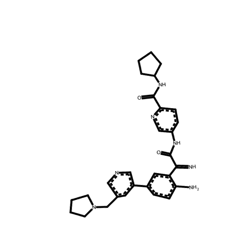 N=C(C(=O)Nc1ccc(C(=O)NC2CCCC2)nc1)c1cc(-c2cncc(CN3CCCC3)c2)ccc1N